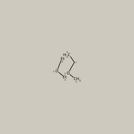 [CH2]COC.[CH2]COCC